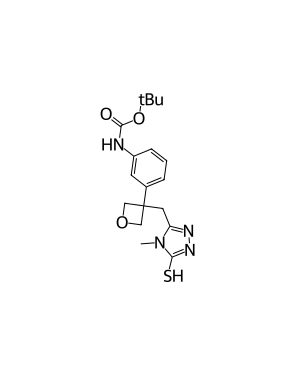 Cn1c(S)nnc1CC1(c2cccc(NC(=O)OC(C)(C)C)c2)COC1